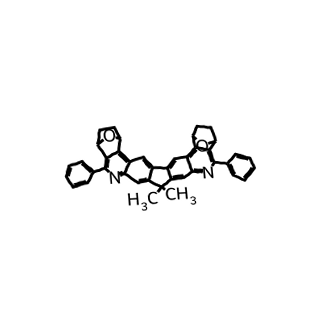 CC1(C)c2cc3nc(-c4ccccc4)c4c(c3cc2-c2cc3c5c(c(-c6ccccc6)nc3cc21)C1CCC5O1)C1CCC4O1